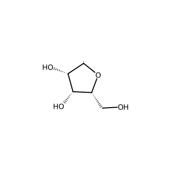 OC[C@H]1O[CH][C@@H](O)[C@H]1O